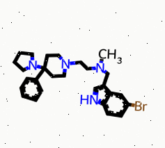 CN(CCN1CCC(c2ccccc2)(N2CCCC2)CC1)Cc1c[nH]c2ccc(Br)cc12